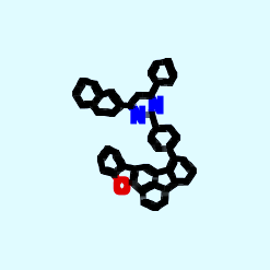 c1ccc(-c2cc(-c3ccc4ccccc4c3)nc(-c3ccc(-c4cccc5c4-c4cc6c7ccccc7oc6c6cccc-5c46)cc3)n2)cc1